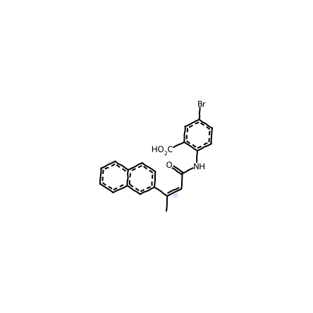 C/C(=C/C(=O)Nc1ccc(Br)cc1C(=O)O)c1ccc2ccccc2c1